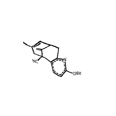 C=C1C2C=C(C)CC1(C#N)c1ccc(OC)nc1C2